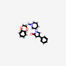 O=C1CC(c2ccccc2)CN1[C@H]1CCCN(C[C@H]2COc3ccccc3O2)C1